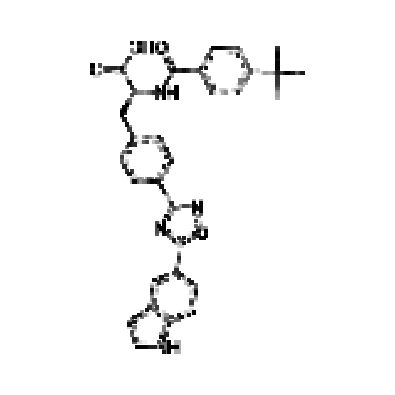 CC(C)(C)c1ccc(C(=O)N[C@@H](Cc2ccc(-c3noc(-c4ccc5[nH]ccc5c4)n3)cc2)C(=O)O)cc1